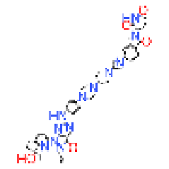 C=CCn1c(=O)c2cnc(Nc3ccc(N4CCN(C5CCN(C6CN(c7ccc8c(c7)CN(C7CCC(=O)NC7=O)C8=O)C6)CC5)CC4)cc3)nc2n1-c1ccc2c(n1)[C@](O)(CC)CC2